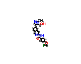 Cn1ncc(-c2ccc3cnc(NC(=O)c4ccc(OC(F)F)cc4)cc3c2)c1CO